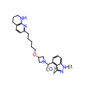 CCn1nc(C)c2c(C(C(=O)O)N3CC(OCCCCCc4ccc5c(n4)NCCC5)C3)cccc21